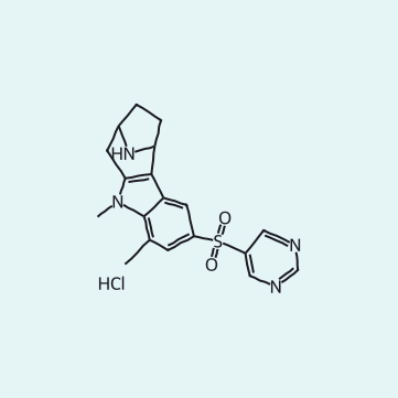 Cc1cc(S(=O)(=O)c2cncnc2)cc2c3c(n(C)c12)CC1CCC3N1.Cl